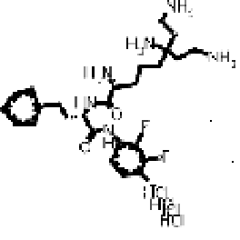 Cl.Cl.Cl.Cl.NCCC(N)(CCN)CCC[C@H](N)C(=O)N[C@@H](CCc1ccccc1)C(=O)Nc1ccc(F)c(F)c1F